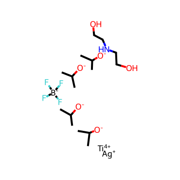 CC(C)[O-].CC(C)[O-].CC(C)[O-].CC(C)[O-].F[B-](F)(F)F.OCCNCCO.[Ag+].[Ti+4]